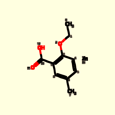 CCOc1ccc(C)cc1C(=O)O.[Zn]